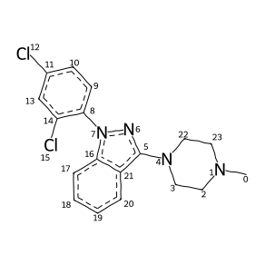 CN1CCN(c2nn(-c3ccc(Cl)cc3Cl)c3ccccc23)CC1